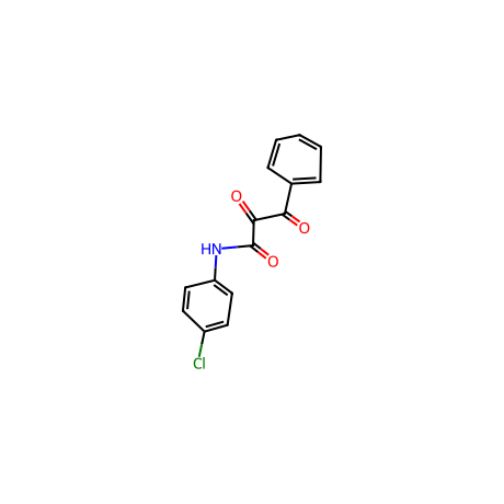 O=C(Nc1ccc(Cl)cc1)C(=O)C(=O)c1ccccc1